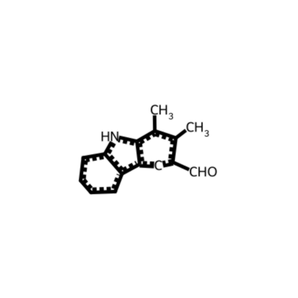 Cc1c(C=O)cc2c([nH]c3ccccc32)c1C